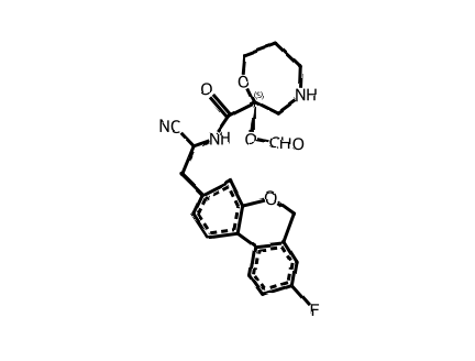 N#CC(Cc1ccc2c(c1)OCc1cc(F)ccc1-2)NC(=O)[C@@]1(OC=O)CNCCCO1